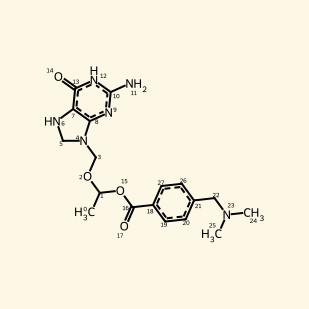 CC(OCN1CNc2c1nc(N)[nH]c2=O)OC(=O)c1ccc(CN(C)C)cc1